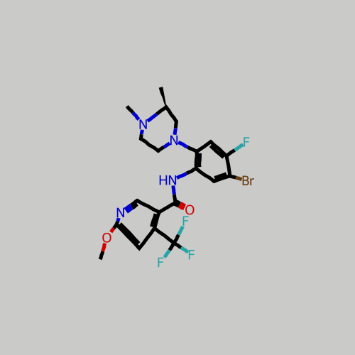 COc1cc(C(F)(F)F)c(C(=O)Nc2cc(Br)c(F)cc2N2CCN(C)[C@@H](C)C2)cn1